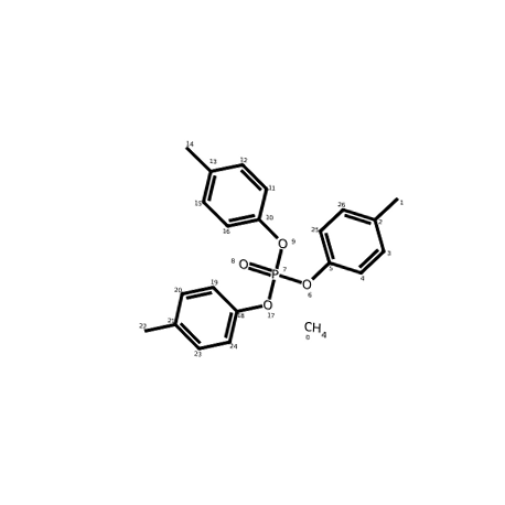 C.Cc1ccc(OP(=O)(Oc2ccc(C)cc2)Oc2ccc(C)cc2)cc1